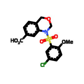 COc1ccc(Cl)cc1S(=O)(=O)N1COCc2ccc(C(=O)O)cc21